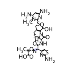 C[C@@H](O/N=C(\C(=O)NC1C(=O)N2C(C(=O)O)=C(CSC3=NC(N)=CC(N)N3C)CS[C@@H]12)c1csc(N)n1)C(=O)O